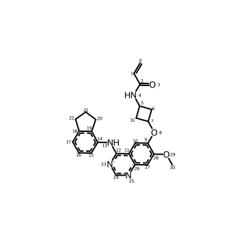 C=CC(=O)NC1CC(Oc2cc3c(Nc4cccc5c4CCC5)ncnc3cc2OC)C1